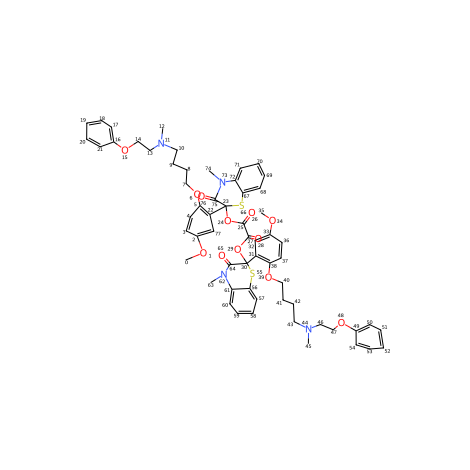 COc1ccc(OCCCCN(C)CCOc2ccccc2)c(C2(OC(=O)C(=O)OC3(c4cc(OC)ccc4OCCCCN(C)CCOc4ccccc4)Sc4ccccc4N(C)C3=O)Sc3ccccc3N(C)C2=O)c1